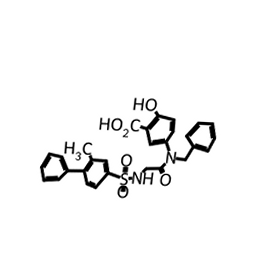 Cc1cc(S(=O)(=O)NCC(=O)N(Cc2ccccc2)c2ccc(O)c(C(=O)O)c2)ccc1-c1ccccc1